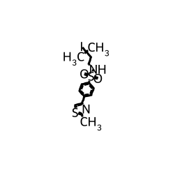 Cc1nc(-c2ccc(S(=O)(=O)NCCC(C)(C)I)cc2)cs1